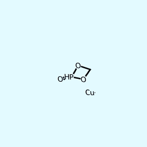 O=[PH]1OCO1.[Cu]